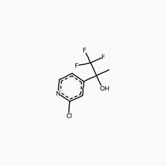 CC(O)(c1ccnc(Cl)c1)C(F)(F)F